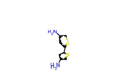 Nc1csc(-c2cc(N)cs2)c1